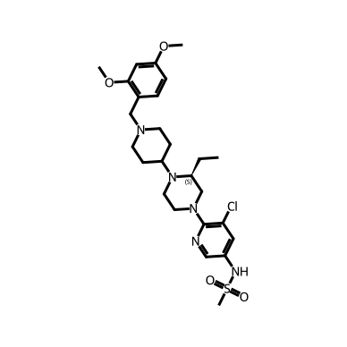 CC[C@H]1CN(c2ncc(NS(C)(=O)=O)cc2Cl)CCN1C1CCN(Cc2ccc(OC)cc2OC)CC1